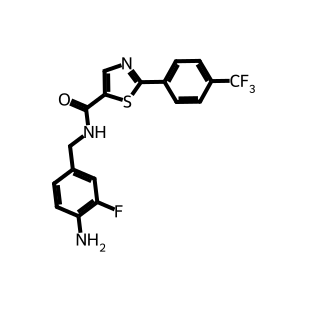 Nc1ccc(CNC(=O)c2cnc(-c3ccc(C(F)(F)F)cc3)s2)cc1F